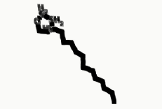 CCCCCCCCCCCC[SiH]1CCO[SiH2][SiH2]1